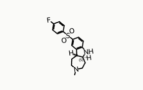 CN1CC[C@@H]2Nc3ccc(S(=O)(=O)c4ccc(F)cc4)cc3[C@H]2CC1